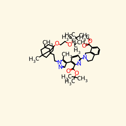 COC(=O)c1cccc2c1CN(c1ccc(-c3cnn(CCC45CC6(C)CC(C)(C4)CC(OCCO[Si](C)(C)C(C)(C)C)(C6)C5)c3C)c(C(=O)OC(C)(C)C)n1)CC2